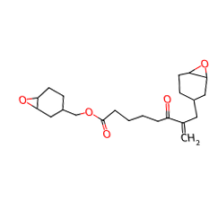 C=C(CC1CCC2OC2C1)C(=O)CCCCC(=O)OCC1CCC2OC2C1